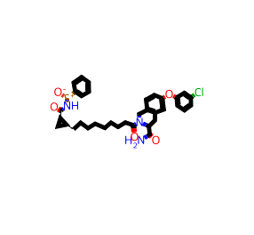 NC(=O)C1Cc2cc(Oc3cccc(Cl)c3)ccc2CN1C(=O)CCCCCCCC[C@@H]1C[C@@H]1C(=O)N[S+]([O-])c1ccccc1